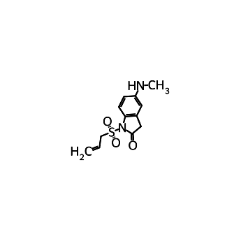 C=CCS(=O)(=O)N1C(=O)Cc2cc(NC)ccc21